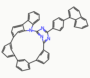 c1cc2cc(c1)-c1cccc(c1)-c1nc(-c3ccc(-c4cccc5ccccc45)cc3)nc(n1)-n1c3ccccc3c3ccc(cc31)-c1cccc-2c1